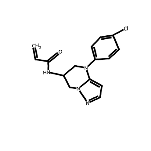 C=CC(=O)NC1CN(c2ccc(Cl)cc2)c2ccnn2C1